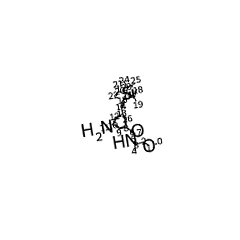 COCC(C)NC(=O)c1cc(N)cc(C#C[Si](C(C)C)(C(C)C)C(C)C)c1